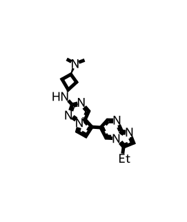 CCc1cnc2ncc(-c3ccn4nc(N[C@H]5C[C@H](N(C)C)C5)ncc34)cn12